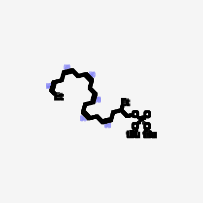 CC/C=C\C/C=C\C/C=C\C/C=C\C/C=C\C/C=C\CC(CC)COP(=O)(OC(C)(C)C)OC(C)(C)C